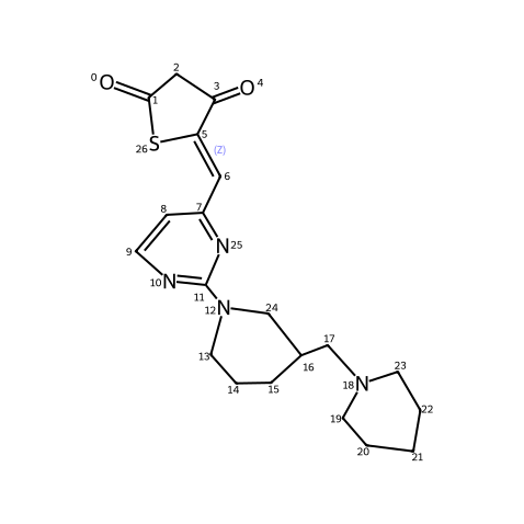 O=C1CC(=O)/C(=C/c2ccnc(N3CCCC(CN4CCCCC4)C3)n2)S1